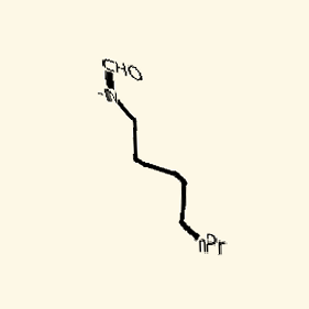 CCCCCCC[N]C=O